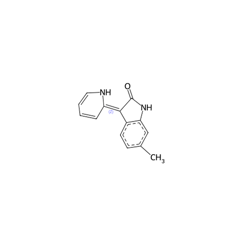 Cc1ccc2c(c1)NC(=O)/C2=C1/C=CC=CN1